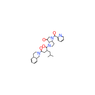 CC(C)CC(CC(=O)N1CCC2C=CC=CC2C1)C(=O)N1CCC2C1C(=O)CN2C(=O)c1ccccn1